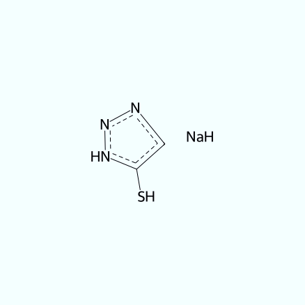 Sc1cnn[nH]1.[NaH]